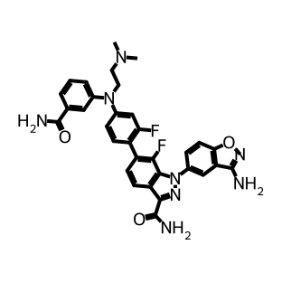 CN(C)CCN(c1cccc(C(N)=O)c1)c1ccc(-c2ccc3c(C(N)=O)nn(-c4ccc5onc(N)c5c4)c3c2F)c(F)c1